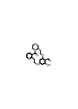 O=Cc1c(O)cccc1OCC[C@@H]1COCCN1C(=O)c1cccnc1CCO